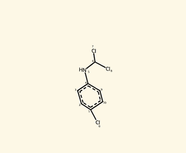 Clc1ccc(NC(Cl)Cl)cc1